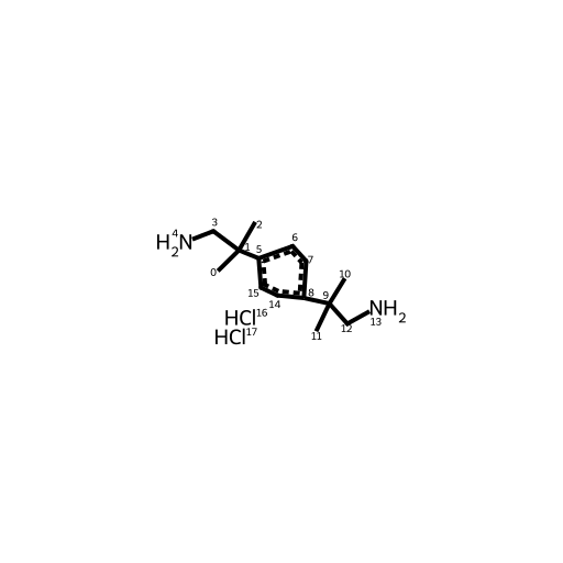 CC(C)(CN)c1ccc(C(C)(C)CN)cc1.Cl.Cl